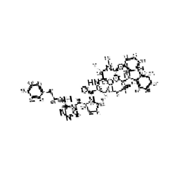 C#CCO[C@H](C)[C@H](NC(=O)[C@H](C)N(C)C(=O)OCC1c2ccccc2-c2ccccc21)C(=O)N1CCC[C@H]1Cn1nnnc1NCCc1ccccc1